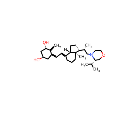 C=C1/C(=C\C=C2/CCC[C@]3(C)[C@@H]([C@H](C)CN4CCOC[C@@H]4C(C)C)CC[C@@H]23)C[C@@H](O)C[C@@H]1O